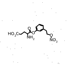 NC(CCC(=O)O)C(=O)Oc1cccc(CCO[N+](=O)[O-])c1